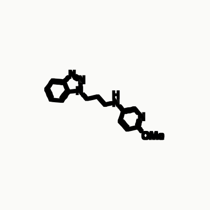 COc1ccc(NCCCn2nnc3ccccc32)cn1